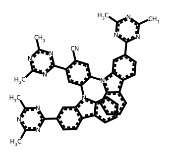 Cc1nc(C)nc(-c2ccc3c4ccccc4n(-c4cc(C#N)c(-c5nc(C)nc(C)n5)cc4-n4c5ccccc5c5ccc(-c6nc(C)nc(C)n6)cc54)c3c2)n1